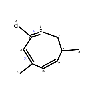 C/C1=C/C(Cl)=P\CC(C)C=C1